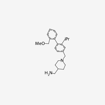 COCc1ccccc1-c1ccc(CN2CCC(CN)CC2)cc1C(C)C